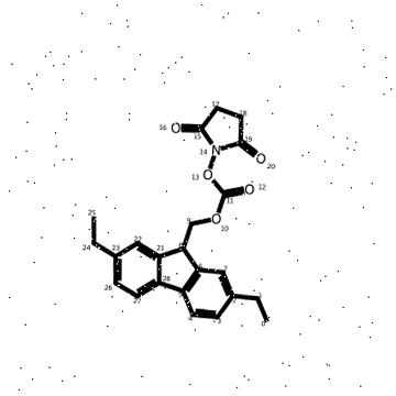 CCc1ccc2c(c1)C(COC(=O)ON1C(=O)CCC1=O)c1cc(CC)ccc1-2